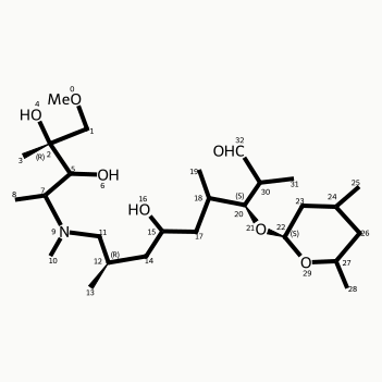 COC[C@@](C)(O)C(O)C(C)N(C)C[C@H](C)CC(O)CC(C)[C@H](O[C@H]1CC(C)CC(C)O1)C(C)C=O